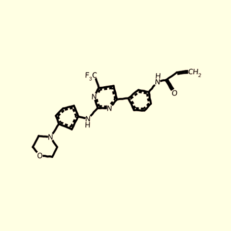 C=CC(=O)Nc1cccc(-c2cc(C(F)(F)F)nc(Nc3cccc(N4CCOCC4)c3)n2)c1